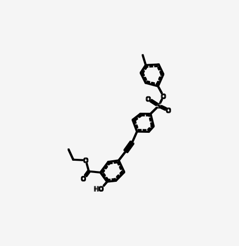 CCOC(=O)c1cc(C#Cc2ccc(S(=O)(=O)Oc3ccc(C)cc3)cc2)ccc1O